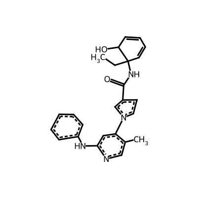 CCC1(NC(=O)c2ccn(-c3cc(Nc4ccccc4)ncc3C)c2)C=CC=CC1O